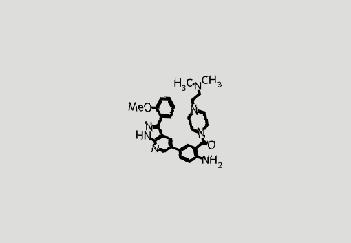 COc1ccccc1-c1n[nH]c2ncc(-c3ccc(N)c(C(=O)N4CCN(CCN(C)C)CC4)c3)cc12